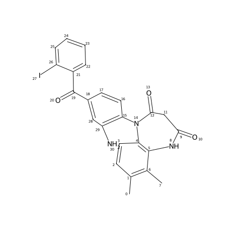 Cc1ccc2c(c1C)NC(=O)CC(=O)N2c1ccc(C(=O)c2ccccc2I)cc1N